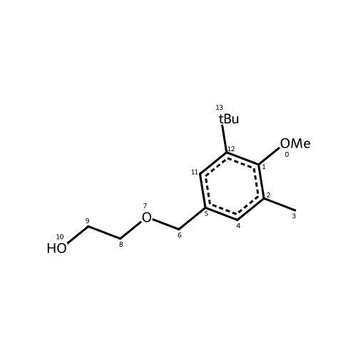 COc1c(C)cc(COCCO)cc1C(C)(C)C